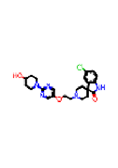 O=C1Nc2ccc(Cl)cc2C12CCN(CCOc1cnc(N3CCC(O)CC3)nc1)CC2